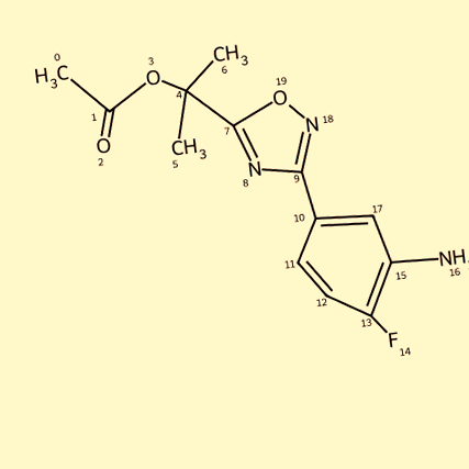 CC(=O)OC(C)(C)c1nc(-c2ccc(F)c(N)c2)no1